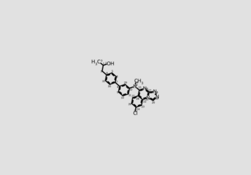 CC(O)Cc1ccc(-c2cccc(N(C)c3nc4nncn4c4cc(Cl)ccc34)c2)cc1